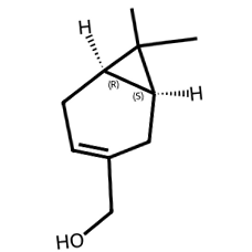 CC1(C)[C@@H]2CC=C(CO)C[C@@H]21